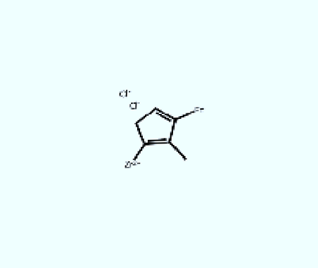 CCC1=CC[C]([Zr+2])=C1C.[Cl-].[Cl-]